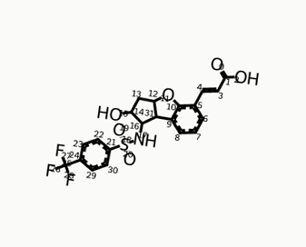 O=C(O)C=Cc1cccc2c1OC1CC(O)C(NS(=O)(=O)c3ccc(C(F)(F)F)cc3)C21